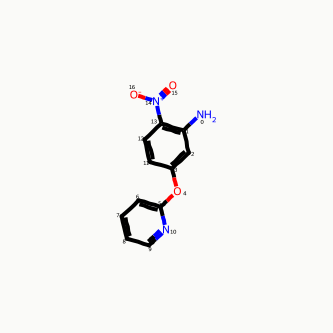 Nc1cc(Oc2ccccn2)ccc1[N+](=O)[O-]